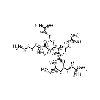 N=C(N)NCCC[C@H](NC(=O)[C@H](CCCNC(=N)N)NC(=O)[C@H](CCCNC(=N)N)NC(=O)[C@@H](N)CCCCN)C(=O)O